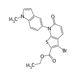 CCOC(=O)c1sc2c(ccc(=O)n2-c2ccc3c(ccn3C)c2)c1Br